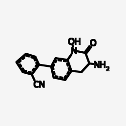 N#Cc1ccccc1-c1ccc2c(c1)N(O)C(=O)C(N)C2